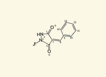 O=C1NN(F)C(=O)C1=Cc1ccccc1